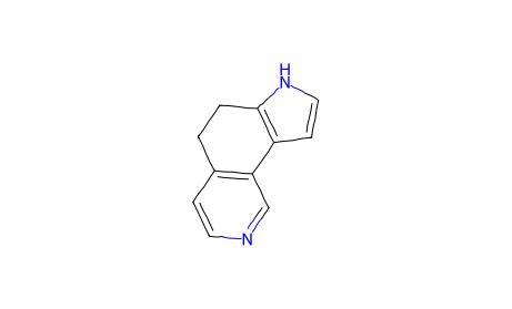 c1cc2c(cn1)-c1cc[nH]c1CC2